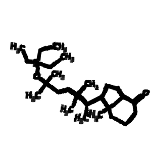 CC[Si](CC)(CC)OC(C)(C)CCC(C)(C)[C@H](C)C1CCC2C(=O)CCC[C@@]21C